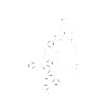 CNCc1cc(NC(=O)[C@H](CCCNC(N)=O)NC(=O)[C@@H](NC(=O)CN=[N+]=[N-])C(C)C)ccc1C[N+](C)(C)CCC[C@@H]1Cc2ccccc2CN1C(=O)c1ccc(Cl)cc1-c1cc(C(=O)N(c2ccc(O)cc2)c2cc(C#N)n(C)c2C)c(C)n1C.O=C([O-])C(F)(F)F